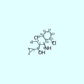 N=C(/C(CI)=C(\O)C1CC1)c1c(Cl)cccc1Cl